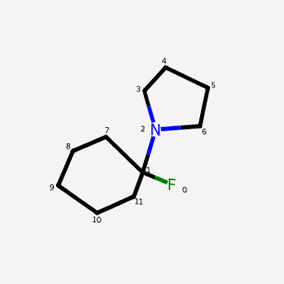 FC1(N2CCCC2)CCCCC1